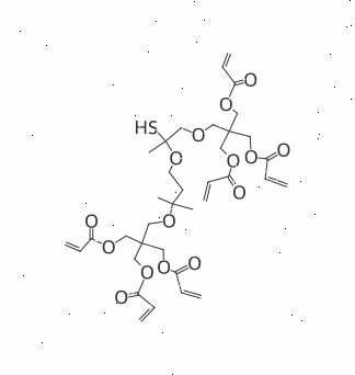 C=CC(=O)OCC(COCC(C)(S)OCCC(C)(C)OCC(COC(=O)C=C)(COC(=O)C=C)COC(=O)C=C)(COC(=O)C=C)COC(=O)C=C